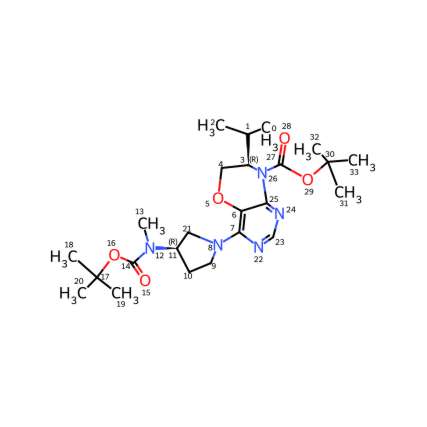 CC(C)[C@@H]1COc2c(N3CC[C@@H](N(C)C(=O)OC(C)(C)C)C3)ncnc2N1C(=O)OC(C)(C)C